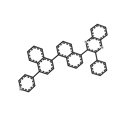 c1ccc(-c2nc3ccccc3nc2-c2cccc3c(-c4ccc(-c5ccncc5)c5ccccc45)cccc23)cc1